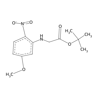 COc1ccc([N+](=O)[O-])c(NCC(=O)OC(C)(C)C)c1